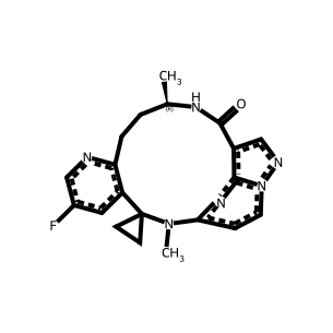 C[C@@H]1CCc2ncc(F)cc2C2(CC2)N(C)c2ccn3ncc(c3n2)C(=O)N1